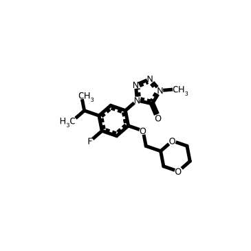 CC(C)c1cc(-n2nnn(C)c2=O)c(OCC2COCCO2)cc1F